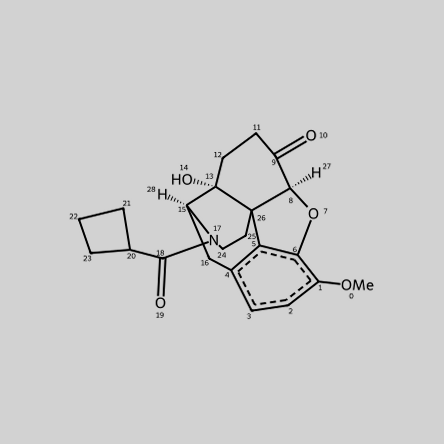 COc1ccc2c3c1O[C@@H]1C(=O)CC[C@]4(O)[C@H](C2)N(C(=O)C2CCC2)CCC314